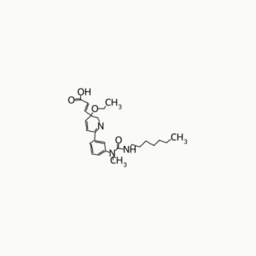 CCCCCCCNC(=O)N(C)c1cccc(C2=NCC(C=CC(=O)O)(OCC)C=C2)c1